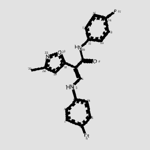 CCc1ccc(NC=C(C(=O)Nc2ccc(F)cc2)c2cc(C)no2)cc1